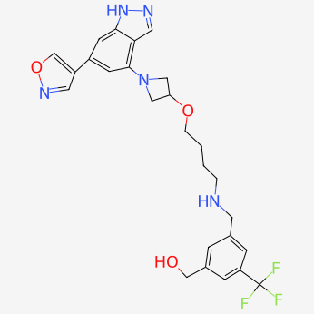 OCc1cc(CNCCCCOC2CN(c3cc(-c4cnoc4)cc4[nH]ncc34)C2)cc(C(F)(F)F)c1